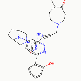 CC1CCN(CC#Cc2cc(N3C4CCC3CN(c3cc(-c5ccccc5O)nnc3N)C4)ccn2)CCC1=O